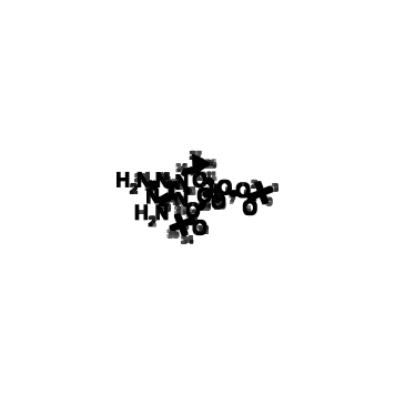 CC(C)(C)C(=O)OCOP(=O)(COC1(Cn2cnc3c(N)nc(N)nc32)CC1)OCOC(=O)C(C)(C)C